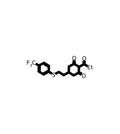 CCC(=O)C1C(=O)CC(CCSc2ccc(C(F)(F)F)cc2)CC1=O